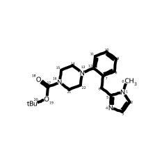 Cn1ccnc1Cc1ccccc1N1CCN(C(=O)OC(C)(C)C)CC1